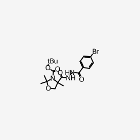 CC(C)(C)OC(=O)N1C(C)(C)OCC1(C)C(=O)NNC(=O)c1ccc(Br)cc1